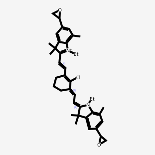 CCN1/C(=C\C=C2/CCCC(/C=C/C3=[N+](CC)c4c(C)cc(C5CO5)cc4C3(C)C)=C2Cl)C(C)(C)c2cc(C3CO3)cc(C)c21